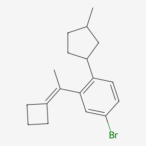 CC(=C1CCC1)c1cc(Br)ccc1C1CCC(C)C1